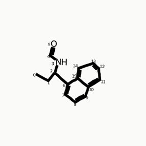 CCC(NC=O)c1cccc2ccccc12